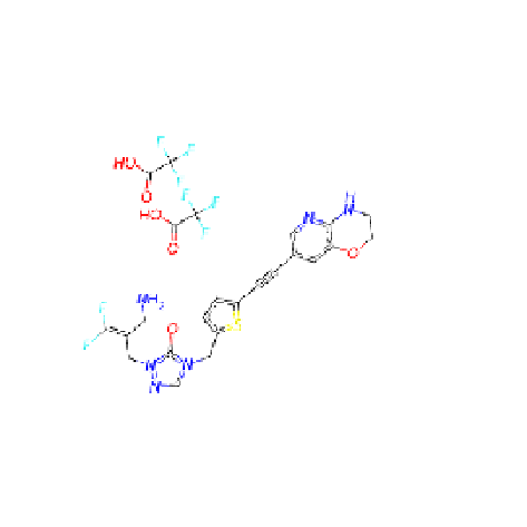 NCC(Cn1ncn(Cc2ccc(C#Cc3cnc4c(c3)OCCN4)s2)c1=O)=C(F)F.O=C(O)C(F)(F)F.O=C(O)C(F)(F)F